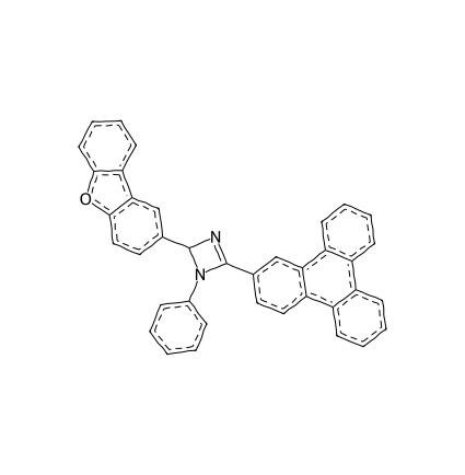 c1ccc(N2C(c3ccc4c5ccccc5c5ccccc5c4c3)=NC2c2ccc3oc4ccccc4c3c2)cc1